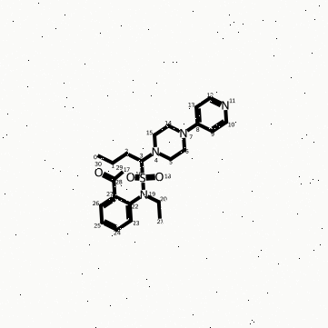 CCCC(N1CCN(c2ccncc2)CC1)S(=O)(=O)N(CC)c1ccccc1C(C)=O